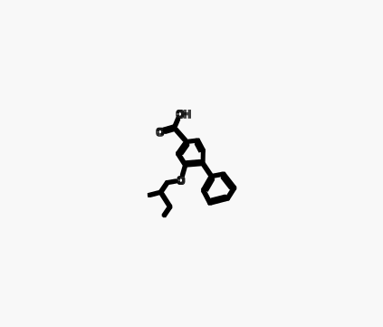 CCC(C)COc1cc(C(=O)O)ccc1-c1ccccc1